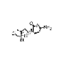 CC[C@@]1(CCl)O[C@@H](n2ccc(N)nc2=O)C[C@@H]1C